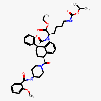 CCOC(=O)[C@@H](CCCCNC(=O)OC(C)C)NC(=O)[C@@]1(c2ccccc2)CC[C@H](C(=O)N2CCC(NC(=O)c3ccccc3OC)CC2)c2ccccc21